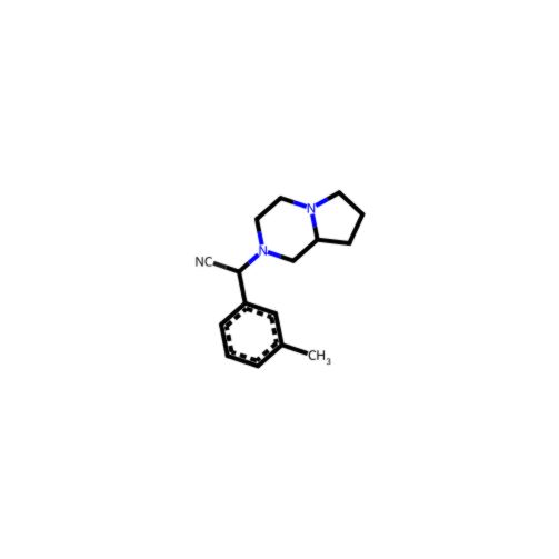 Cc1cccc(C(C#N)N2CCN3CCCC3C2)c1